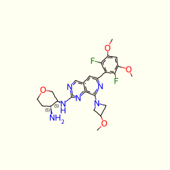 COc1cc(OC)c(F)c(-c2cc3cnc(N[C@@H]4COCC[C@@H]4N)nc3c(N3CC(OC)C3)n2)c1F